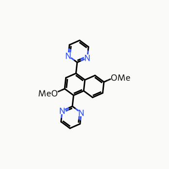 COc1ccc2c(-c3ncccn3)c(OC)cc(-c3ncccn3)c2c1